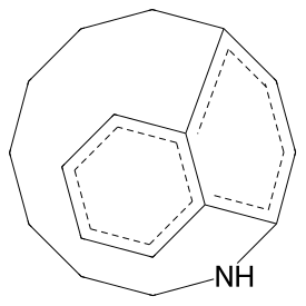 c1ccc2c3ccc(c2c1)CCCCCCCN3